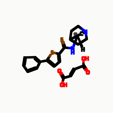 O=C(O)C=CC(=O)O.S=C(N[C@H]1CN2CCC1CC2)c1ccc(-c2ccccc2)s1